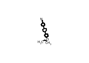 CCC(C)Oc1ccc(C2CCC(c3ccc(C#N)cc3)CC2)cc1